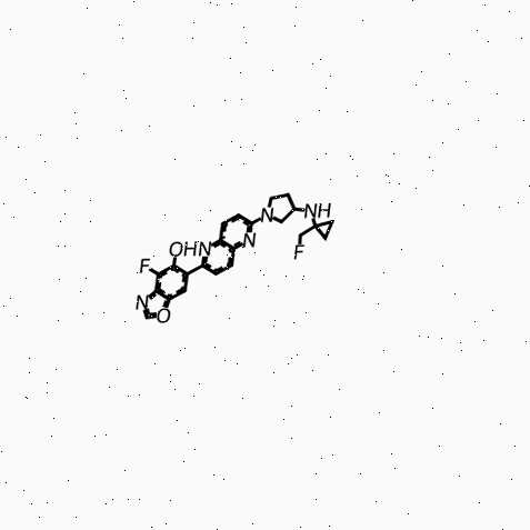 Oc1c(-c2ccc3nc(N4CCC(NC5(CF)CC5)C4)ccc3n2)cc2ocnc2c1F